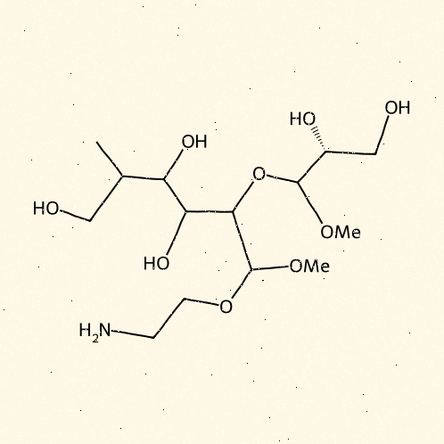 COC(OCCN)C(OC(OC)[C@H](O)CO)C(O)C(O)C(C)CO